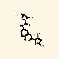 CCc1cc(CC)n(C(=O)Nc2cc(NC(=O)n3nc(C)cc3CC)ccc2C(C)C)n1